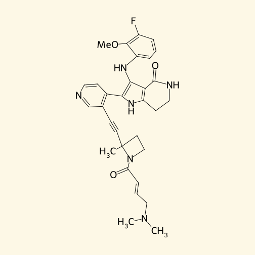 COc1c(F)cccc1Nc1c(-c2ccncc2C#CC2(C)CCN2C(=O)/C=C/CN(C)C)[nH]c2c1C(=O)NCC2